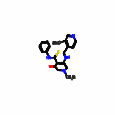 COc1cnccc1CNC1=C(C(=S)Nc2ccccc2)C(=O)CN(C(=O)O)C1